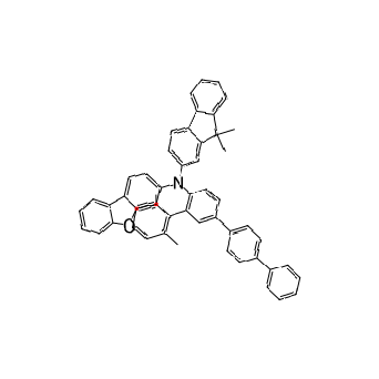 Cc1cccc(C)c1-c1cc(-c2ccc(-c3ccccc3)cc2)ccc1N(c1ccc2c(c1)C(C)(C)c1ccccc1-2)c1ccc2c(c1)oc1ccccc12